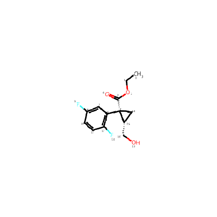 CCOC(=O)[C@]1(c2cc(F)ccc2F)C[C@@H]1CO